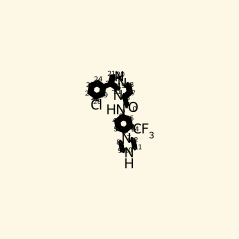 O=C(Nc1ccc(N2CCNCC2)c(C(F)(F)F)c1)c1ccn2ncc(-c3cccc(Cl)c3)c2n1